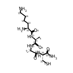 C[C@H](NC(=O)[C@H](C)NC(=O)[C@@H](N)CCCCN)C(=O)N[C@@H](CS)C(N)=O